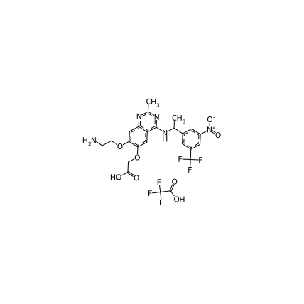 Cc1nc(NC(C)c2cc([N+](=O)[O-])cc(C(F)(F)F)c2)c2cc(OCC(=O)O)c(OCCN)cc2n1.O=C(O)C(F)(F)F